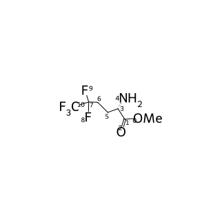 COC(=O)[C@@H](N)CCC(F)(F)C(F)(F)F